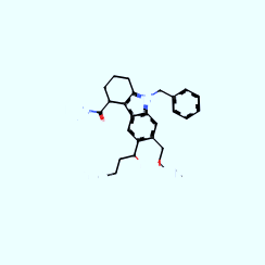 N#CCCc1cc2c(cc1C(O)CCC(=O)O)c1c(n2Cc2ccccc2)CCCC1C(N)=O